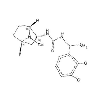 CC(NC(=O)N[C@@H]1C[C@@H]2CC[C@H]1N2C#N)c1cccc(Cl)c1Cl